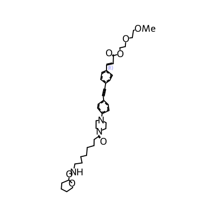 COCCOCCOC(=O)/C=C/c1ccc(C#Cc2ccc(N3CCN(C(=O)CCCCCCCNOC4CCCCO4)CC3)cc2)cc1